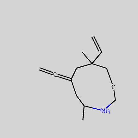 C=C=C1CC(C)NCCCC(C)(C=C)C1